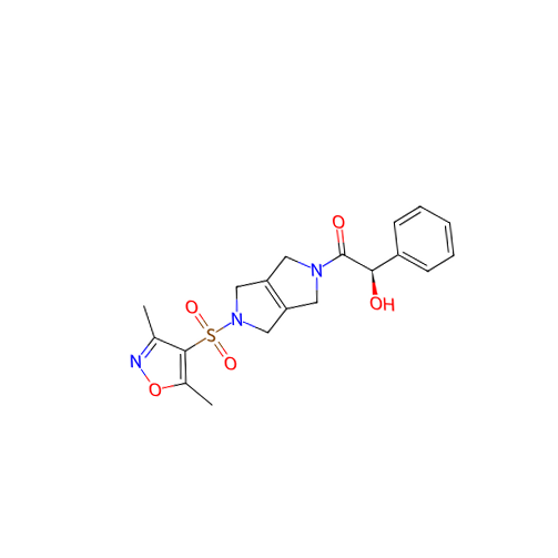 Cc1noc(C)c1S(=O)(=O)N1CC2=C(CN(C(=O)[C@H](O)c3ccccc3)C2)C1